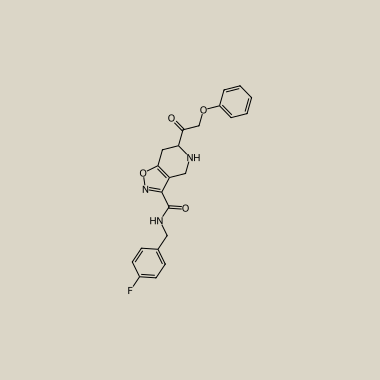 O=C(NCc1ccc(F)cc1)c1noc2c1CNC(C(=O)COc1ccccc1)C2